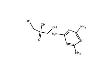 Nc1nc(N)nc(N)n1.O=P(O)(CO)CO